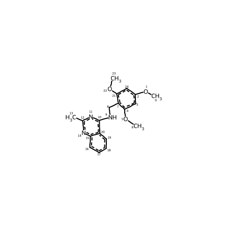 COc1cc(OC)c(CNc2nc(C)nc3ccccc23)c(OC)c1